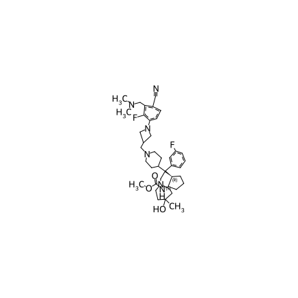 COC(=O)N[C@H]1CCC[C@@H]1C(CN1CCC(C)(O)CC1)(c1cccc(F)c1)C1CCN(CC2CN(c3ccc(C#N)c(CN(C)C)c3F)C2)CC1